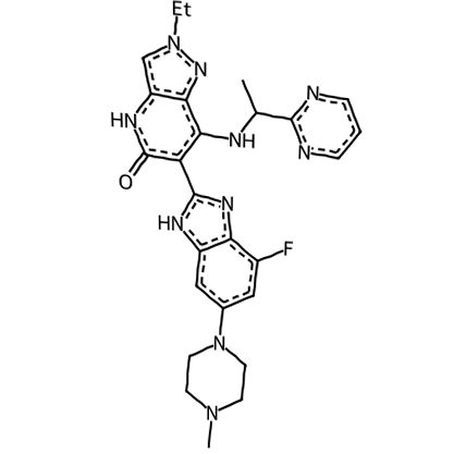 CCn1cc2[nH]c(=O)c(-c3nc4c(F)cc(N5CCN(C)CC5)cc4[nH]3)c(NC(C)c3ncccn3)c2n1